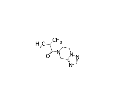 CC(C)C(=O)N1CCn2ncnc2C1